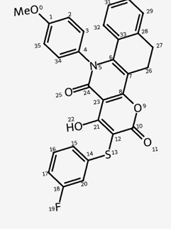 COc1ccc(-n2c3c(c4oc(=O)c(Sc5cccc(F)c5)c(O)c4c2=O)CCc2ccccc2-3)cc1